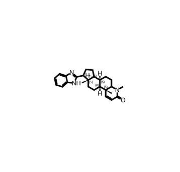 CN1C(=O)C=C[C@@]2(C)C1CC[C@@H]1[C@H]2CC[C@]2(C)C(c3nc4ccccc4[nH]3)CC[C@@H]12